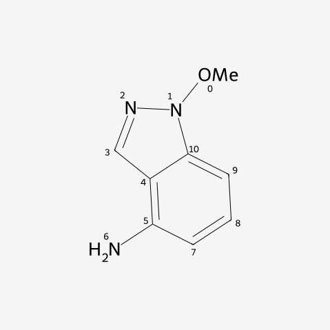 COn1ncc2c(N)cccc21